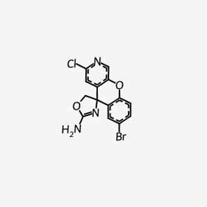 NC1=NC2(CO1)c1cc(Br)ccc1Oc1cnc(Cl)cc12